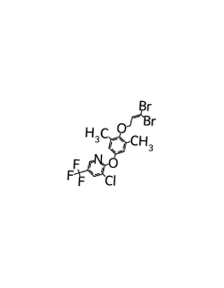 Cc1cc(Oc2ncc(C(F)(F)F)cc2Cl)cc(C)c1OCC=C(Br)Br